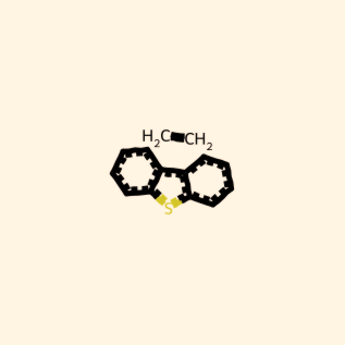 C=C.c1ccc2c(c1)sc1ccccc12